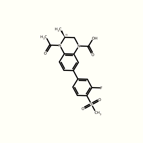 CC(=O)N1c2ccc(-c3ccc(S(C)(=O)=O)c(F)c3)cc2N(C(=O)O)C[C@@H]1C